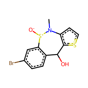 CN1c2ccsc2C(O)c2ccc(Br)cc2[S+]1[O-]